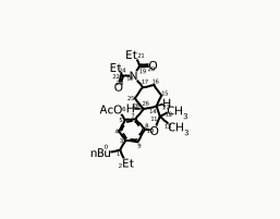 CCCCC(CC)c1cc(OC(C)=O)c2c(c1)OC(C)(C)[C@H]1CCC(N(C(=O)CC)C(=O)CC)C[C@@H]21